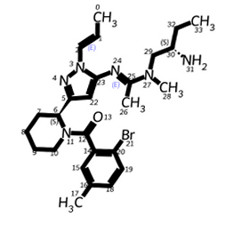 C/C=C/n1nc([C@@H]2CCCCN2C(=O)c2cc(C)ccc2Br)cc1/N=C(\C)N(C)C[C@@H](N)CC